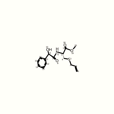 C=CCSC[C@H](NC(=O)C(O)c1ccccc1)C(=O)OC